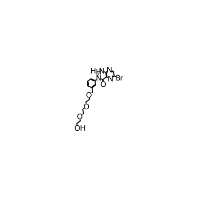 Nc1ncc(Br)nc1C(=O)Nc1cccc(COCCOCCOCCO)c1